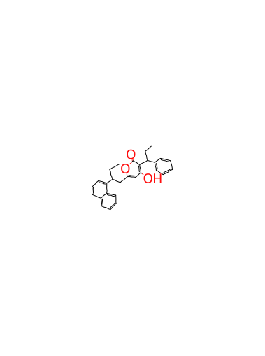 CCC(Cc1cc(O)c(C(CC)c2ccccc2)c(=O)o1)c1cccc2ccccc12